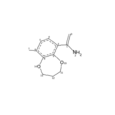 C=C(N)c1ccc(C)c2c1OCCCO2